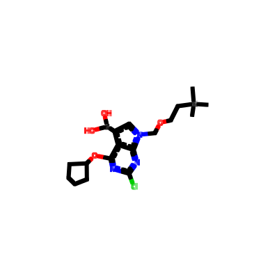 C[Si](C)(C)CCOCn1cc(B(O)O)c2c(OC3CCCC3)nc(Cl)nc21